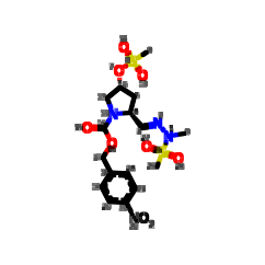 CN(N=C[C@@H]1C[C@@H](OS(C)(=O)=O)CN1C(=O)OCc1ccc([N+](=O)[O-])cc1)S(C)(=O)=O